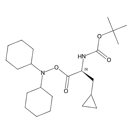 CC(C)(C)OC(=O)N[C@@H](CC1CC1)C(=O)ON(C1CCCCC1)C1CCCCC1